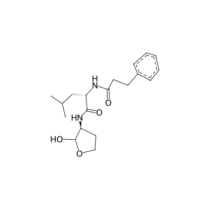 CC(C)C[C@H](NC(=O)CCc1ccccc1)C(=O)N[C@H]1CCOC1O